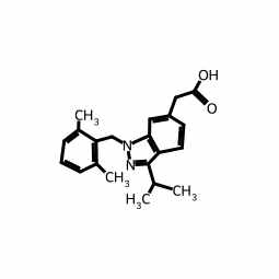 Cc1cccc(C)c1Cn1nc(C(C)C)c2ccc(CC(=O)O)cc21